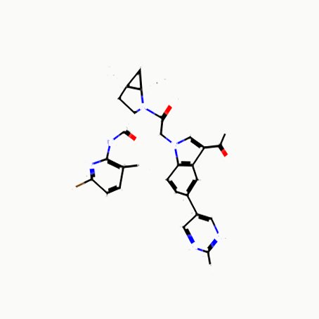 CC(=O)c1cn(CC(=O)N2[C@H](C(=O)Nc3nc(Br)ccc3C)C[C@@]3(C)C[C@@H]23)c2ccc(-c3cnc(C)nc3)cc12